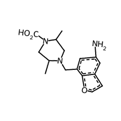 CC1CN(C(=O)O)C(C)CN1Cc1cc(N)cc2ccoc12